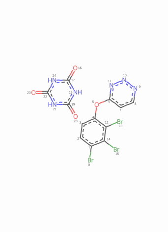 Brc1ccc(Oc2ccnnn2)c(Br)c1Br.O=c1[nH]c(=O)[nH]c(=O)[nH]1